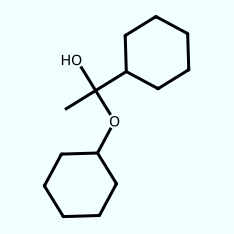 CC(O)(OC1CCCCC1)C1CCCCC1